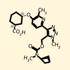 Cc1nc(-c2nnn(C)c2COC(=O)N(C)C23CC(C2)C3)ccc1O[C@H]1CCC[C@H](C(=O)O)C1